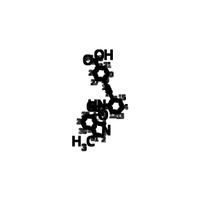 Cc1cncc2c(S(=O)(=O)Nc3ccccc3C#Cc3ccc(C(=O)O)cc3)cccc12